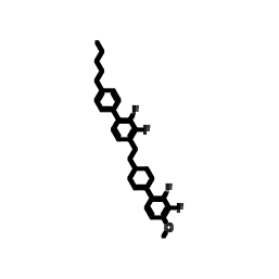 CCCCCc1ccc(-c2ccc(CCC3CC=C(c4ccc(OC)c(F)c4F)CC3)c(F)c2F)cc1